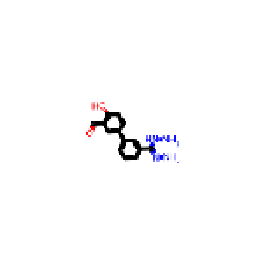 N/N=C(\NN)c1cccc(-c2ccc(O)c(C=O)c2)c1